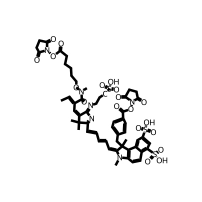 C\C=C(/C=C1\C(=N\CCCS(=O)(=O)O)N=C(/C=C/C=C/C=C2/N(C)c3ccc4c(S(=O)(=O)O)cc(S(=O)(=O)O)cc4c3C2(C)Cc2ccc(C(=O)ON3C(=O)CCC3=O)cc2)C1(C)C)C(=O)N(C)OCCCCCC(=O)ON1C(=O)CCC1=O